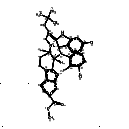 COC(=O)c1ccc2c(c1)nc1n2CC[C@H]2[C@@H]1[C@H](c1cccc(Cl)c1F)[C@]1(C(=O)Nc3cc(Cl)ccc31)N2CCOC(C)(C)C